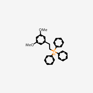 COc1cc(CC[PH](c2ccccc2)(c2ccccc2)c2ccccc2)cc(OC)c1